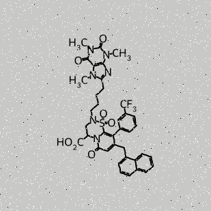 Cn1c(=O)c2c(nc(CCCCN3CC(C(=O)O)n4c(c(-c5cccc(C(F)(F)F)c5)c(Cc5cccc6ccccc56)cc4=O)S3(=O)=O)n2C)n(C)c1=O